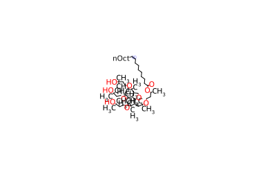 CCCCCCCC/C=C\CCCCCCCC(=O)OC(C)CCOC(C)(C)CC(C1OCC(C(C)(C)OCCC(C)(C)O)C1C(C)(C)OCCC(C)(C)O)C(C)(C)OCCC(C)(C)O